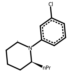 CCC[C@H]1CCC[CH]N1c1cccc(Cl)c1